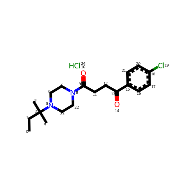 CCC(C)(C)N1CCN(C(=O)CCC(=O)c2ccc(Cl)cc2)CC1.Cl